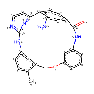 Cc1ccc2cc1COc1cccc(c1)NC(=O)c1ccc(c(N)c1)-c1ccnc(n1)N2